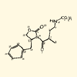 CC(CCNC(=O)O)C(=O)N1C(=O)OC[C@@H]1Cc1ccccc1